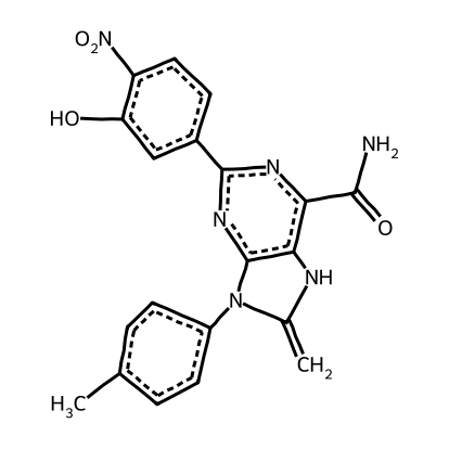 C=C1Nc2c(C(N)=O)nc(-c3ccc([N+](=O)[O-])c(O)c3)nc2N1c1ccc(C)cc1